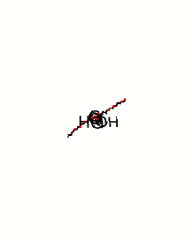 CCCCCCCCCCCCCCCCOOCCCCCCCCCCCCCCCC.O=C(O)O